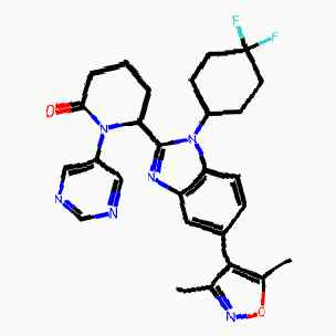 Cc1noc(C)c1-c1ccc2c(c1)nc(C1CCCC(=O)N1c1cncnc1)n2C1CCC(F)(F)CC1